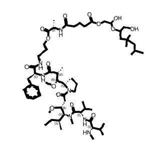 CC[C@H](C)[C@@H]([C@@H](CC(=O)N1CCC[C@H]1[C@H](OC)[C@@H](C)C(=O)N[C@@H](Cc1ccccc1)C(=O)NCCCOC(=O)[C@H](C)NC(=O)CCCC(=O)OCC(O)OC(CO)CC(C)(C)CC(C)C)OC)N(C)C(=O)[C@@H](NC(=O)[C@@H](NC)C(C)C)C(C)C